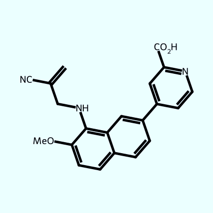 C=C(C#N)CNc1c(OC)ccc2ccc(-c3ccnc(C(=O)O)c3)cc12